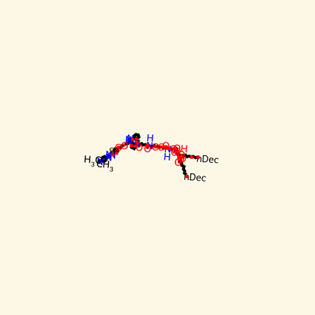 CCCCCCCCCCCCCCCCCC(=O)OCC(COP(=O)(O)OCCNC(=O)COCCOCCNC(=O)CCCC(=O)N1Cc2ccccc2-c2nnn(CCOCCOc3ccc4nc(/N=N/c5ccc(N(C)C)cc5)sc4c3)c2-c2ccccc21)OC(=O)CCCCCCCCCCCCCCCCC